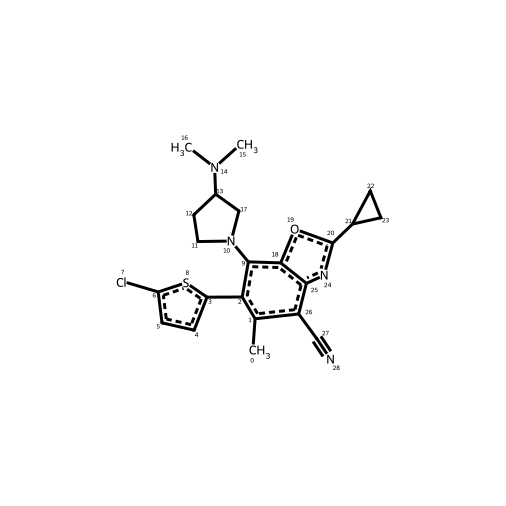 Cc1c(-c2ccc(Cl)s2)c(N2CCC(N(C)C)C2)c2oc(C3CC3)nc2c1C#N